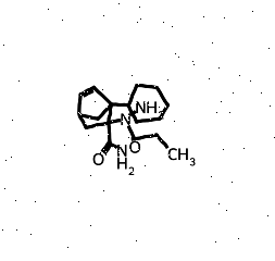 CCC(=O)N(N)C1(C(N)=O)CC2C=CC1(C1CCCCC1)C2